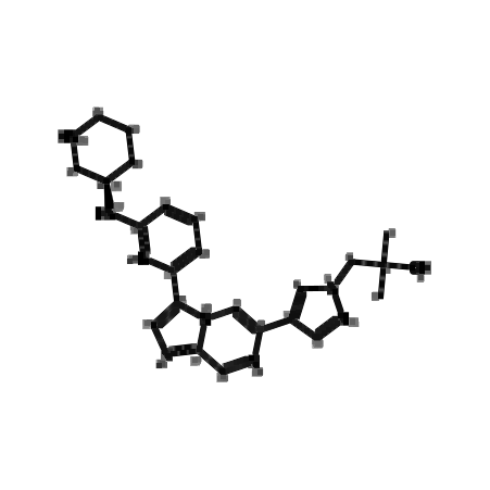 CC(C)(O)Cn1cc(-c2cn3c(-c4cccc(N[C@@H]5CCCNC5)n4)cnc3cn2)cn1